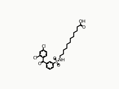 O=C(O)CCCCCCCCCCCNS(=O)(=O)c1cccc(C(=O)c2ccc(Cl)cc2Cl)c1